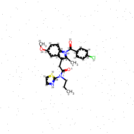 CCCN(C(=O)Cc1c(C)n(C(=O)c2ccc(Cl)cc2)c2ccc(OC)cc12)c1nccs1